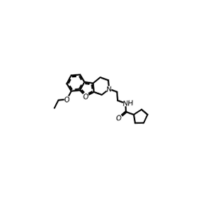 CCOc1cccc2c3c(oc12)CN(CCNC(=O)C1CCCC1)CC3